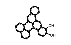 Oc1ccc2c(cc3c4ccccc4cc4c5cccc6cccc(c65)c2c34)c1O